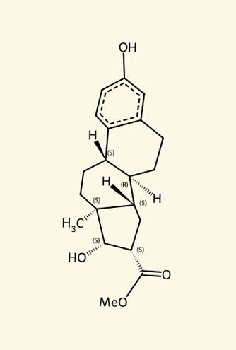 COC(=O)[C@H]1C[C@H]2[C@@H]3CCc4cc(O)ccc4[C@H]3CC[C@]2(C)[C@H]1O